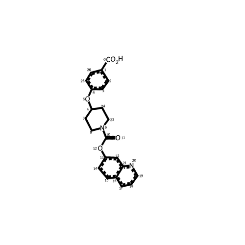 O=C(O)c1ccc(OC2CCN(C(=O)Oc3ccc4cccnc4c3)CC2)cc1